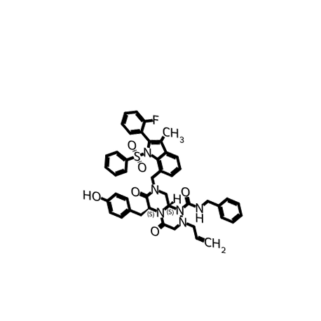 C=CCN1CC(=O)N2[C@@H](Cc3ccc(O)cc3)C(=O)N(Cc3cccc4c(C)c(-c5ccccc5F)n(S(=O)(=O)c5ccccc5)c34)C[C@@H]2N1C(=O)NCc1ccccc1